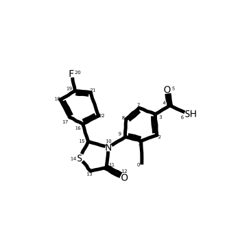 Cc1cc(C(=O)S)ccc1N1C(=O)CSC1c1ccc(F)cc1